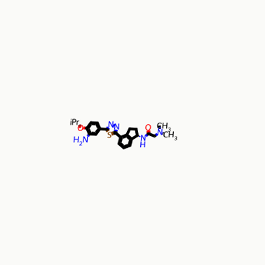 CC(C)Oc1ccc(-c2nnc(-c3cccc4c3CC[C@@H]4NC(=O)CN(C)C)s2)cc1N